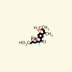 CCOc1cc2c(cc1\C(CC)=C(F)/C=C/C(C)=C/C(=O)O)C(C)=CC(C)(C)O2